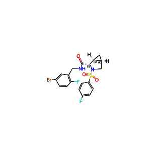 O=C(NCc1cc(Br)ccc1F)[C@@H]1[C@H]2C[C@H]2CN1S(=O)(=O)c1ccc(F)cc1